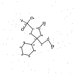 CCOCC(CCC(F)(Cl)Cl)(COCC)C1CCCCC1